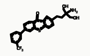 NC(CO)(CO)CCc1ccc2sc3cc(-c4cccc(C(F)(F)F)c4)ccc3c(=O)c2c1